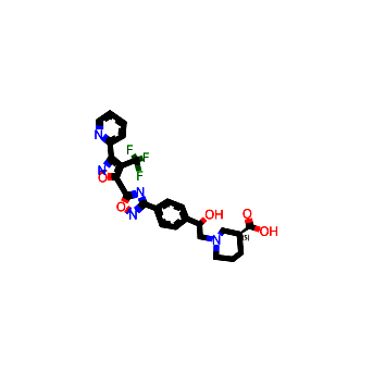 O=C(O)[C@H]1CCCN(CC(O)c2ccc(-c3noc(-c4onc(-c5ccccn5)c4C(F)(F)F)n3)cc2)C1